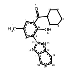 Cc1cc(C(=O)C2CCCCC2)c(O)c(-n2nc3ccccc3n2)c1